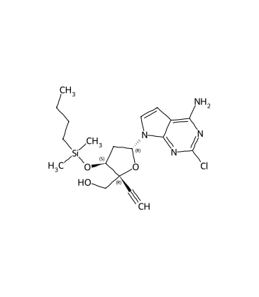 C#C[C@]1(CO)O[C@@H](n2ccc3c(N)nc(Cl)nc32)C[C@@H]1O[Si](C)(C)CCCC